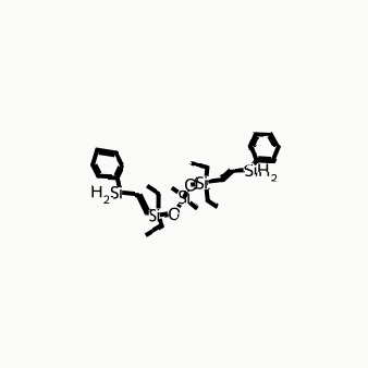 CC[Si](C=C[SiH2]c1ccccc1)(CC)O[Si](C)(C)O[Si](C=C[SiH2]c1ccccc1)(CC)CC